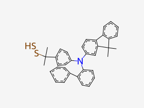 CC(C)(SS)c1ccc(N(c2ccc3c(c2)C(C)(C)c2ccccc2-3)c2ccccc2-c2ccccc2)cc1